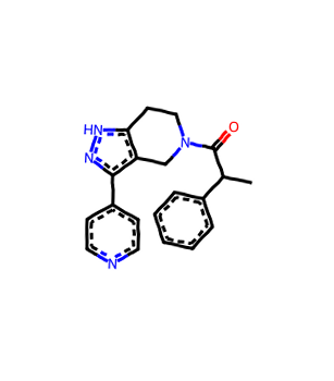 CC(C(=O)N1CCc2[nH]nc(-c3ccncc3)c2C1)c1ccccc1